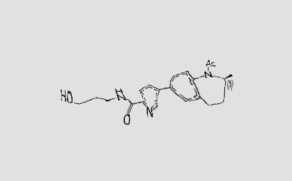 CC(=O)N1c2ccc(-c3ccc(C(=O)NCCCO)nc3)cc2CC[C@@H]1C